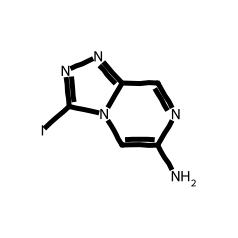 Nc1cn2c(I)nnc2cn1